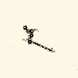 C[C@@H](NC(=O)c1cccc(NC2(c3nnc(-c4ccncc4)[nH]3)CCN(C)CC2)c1)c1cccc(OCCCCCCOCCOCCOCCC(=O)O)c1